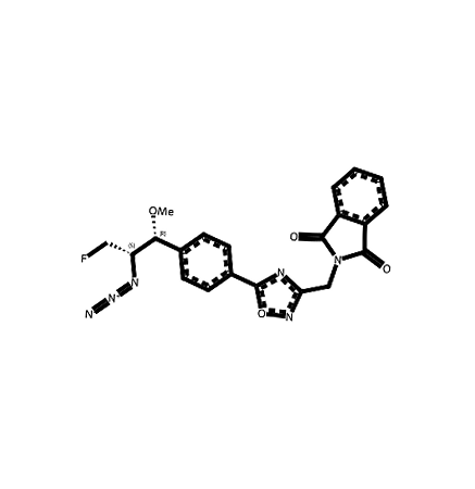 CO[C@H](c1ccc(-c2nc(CN3C(=O)c4ccccc4C3=O)no2)cc1)[C@@H](CF)N=[N+]=[N-]